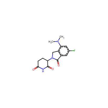 CN(C)c1cc(F)cc2c1CN(C1CCC(=O)NC1=O)C2=O